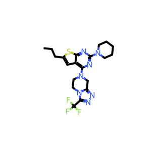 CCCc1cc2c(N3CCn4c(nnc4C(F)(F)F)C3)nc(N3CCCCC3)nc2s1